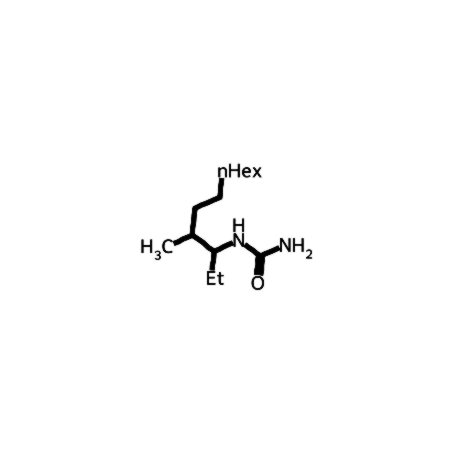 CCCCCCCCC(C)C(CC)NC(N)=O